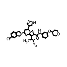 CC(C)c1c(C(=O)Nc2cccc(OC3CCOCC3)c2)nn2c(-c3cn[nH]c3)cc(N3Cc4ccc(Cl)cc4C3)nc12